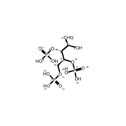 O=C[C@@H](O)[C@@H](OP(=O)(O)O)[C@H](COP(=O)(O)O)OP(=O)(O)O